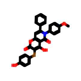 COc1ccc(-n2c(-c3ccccc3)cc3oc(=O)c(Sc4ccc(O)cc4)c(O)c3c2=O)cc1